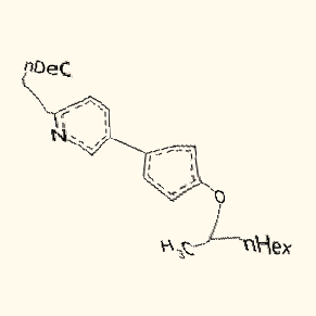 CCCCCCCCCCCc1ccc(-c2ccc(OC(C)CCCCCC)cc2)cn1